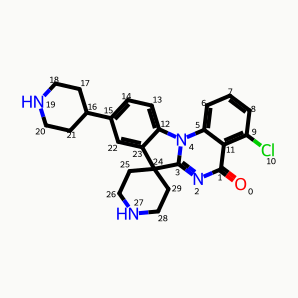 O=c1nc2n(c3cccc(Cl)c13)-c1ccc(C3CCNCC3)cc1C21CCNCC1